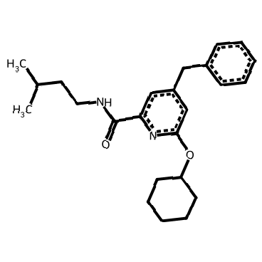 CC(C)CCNC(=O)c1cc(Cc2ccccc2)cc(OC2CCCCC2)n1